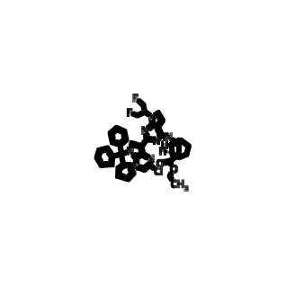 CCOC(=O)[C@@H]1C2CCC(CC2)[C@H]1Nc1nc(-c2cn(C(c3ccccc3)(c3ccccc3)c3ccccc3)c3ncc(Cl)nc23)nc2c1ccn2C(CF)CF